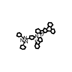 c1ccc(-c2nc(-c3ccccc3)nc(-c3ccc(N(c4cccc5c4oc4cc6c7ccccc7c7ccccc7c6cc45)c4cccc5c4sc4ccccc45)cc3)n2)cc1